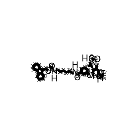 CC(C)(C)N(Cc1cc(Oc2cccc(C(=O)NCCCCCCNC(=O)OCC3c4ccccc4-c4ccccc43)c2)nc(C(F)(F)F)c1)C(=O)O